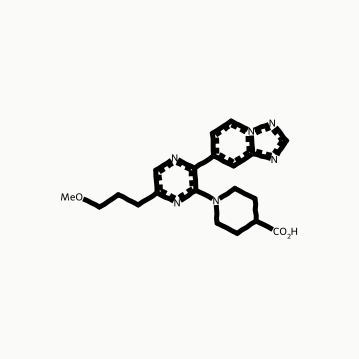 COCCCc1cnc(-c2ccn3ncnc3c2)c(N2CCC(C(=O)O)CC2)n1